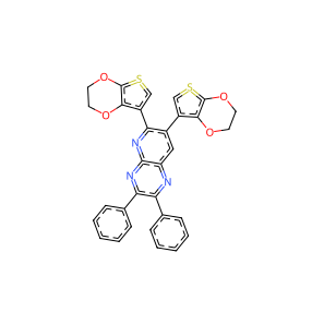 c1ccc(-c2nc3cc(-c4csc5c4OCCO5)c(-c4csc5c4OCCO5)nc3nc2-c2ccccc2)cc1